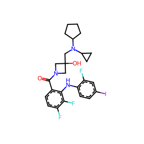 O=C(c1ccc(F)c(F)c1Nc1ccc(I)cc1F)N1CC(O)(CN(C2CCCC2)C2CC2)C1